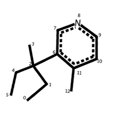 CCC(C)(CC)c1cnccc1C